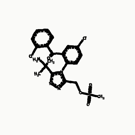 CC(C)(N)c1nnc(COS(C)(=O)=O)n1-c1ccc(Cl)cc1C(=O)c1ccccc1Cl